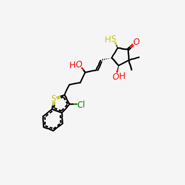 CC1(C)C(=O)[C@H](S)[C@@H](/C=C/C(O)CCc2sc3ccccc3c2Cl)[C@@H]1O